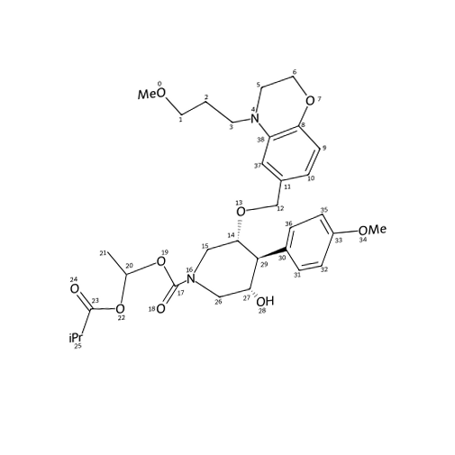 COCCCN1CCOc2ccc(CO[C@H]3CN(C(=O)OC(C)OC(=O)C(C)C)C[C@@H](O)[C@@H]3c3ccc(OC)cc3)cc21